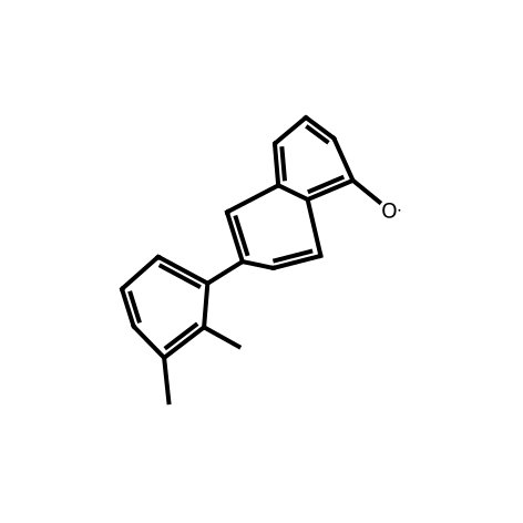 Cc1cccc(-c2ccc3c([O])cccc3c2)c1C